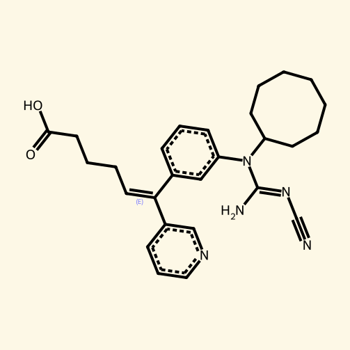 N#CN=C(N)N(c1cccc(/C(=C\CCCC(=O)O)c2cccnc2)c1)C1CCCCCCC1